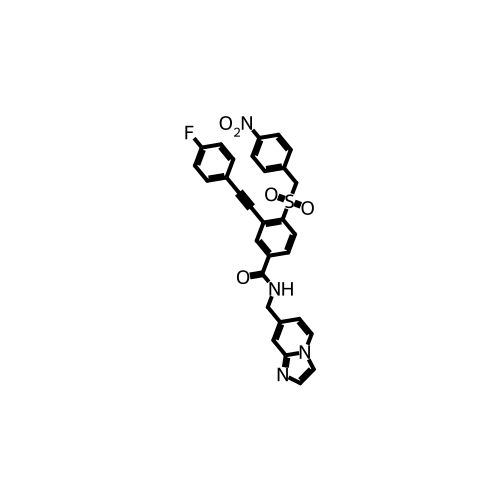 O=C(NCc1ccn2ccnc2c1)c1ccc(S(=O)(=O)Cc2ccc([N+](=O)[O-])cc2)c(C#Cc2ccc(F)cc2)c1